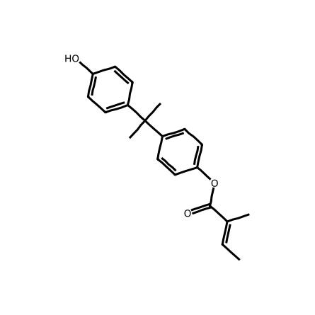 C/C=C(\C)C(=O)Oc1ccc(C(C)(C)c2ccc(O)cc2)cc1